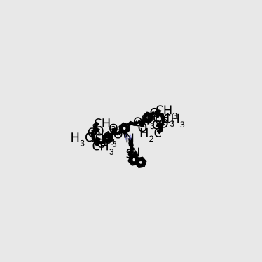 C=CC(=O)OC(C)(C)CC(C)(C)Oc1ccc(C(=O)OCCc2ccc(OC(=O)c3ccc(OC(C)(C)CC(C)(C)OC(=O)C=C)cc3)c(/C=N/C#Cc3nc4c(ccc5ccccc54)s3)c2)cc1